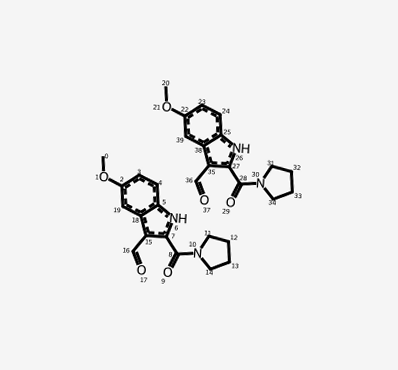 COc1ccc2[nH]c(C(=O)N3CCCC3)c(C=O)c2c1.COc1ccc2[nH]c(C(=O)N3CCCC3)c(C=O)c2c1